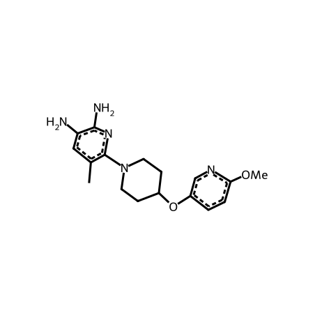 COc1ccc(OC2CCN(c3nc(N)c(N)cc3C)CC2)cn1